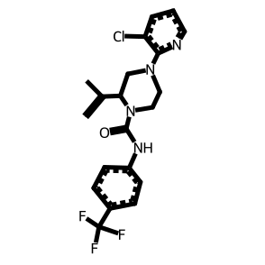 C=C(C)C1CN(c2ncccc2Cl)CCN1C(=O)Nc1ccc(C(F)(F)F)cc1